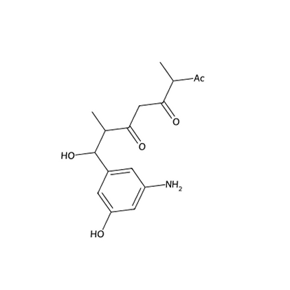 CC(=O)C(C)C(=O)CC(=O)C(C)C(O)c1cc(N)cc(O)c1